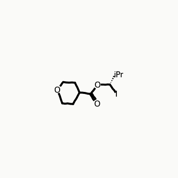 CC(C)[C@H](I)OC(=O)C1CCOCC1